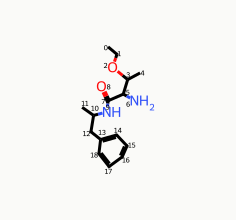 CCOC(C)C(N)C(=O)NC(C)Cc1ccccc1